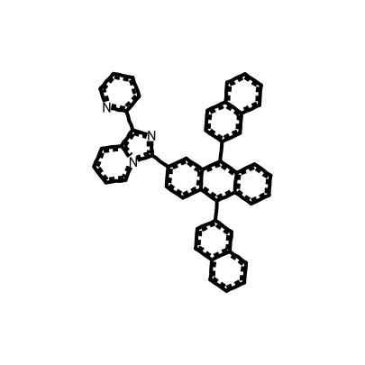 c1ccc(-c2nc(-c3ccc4c(-c5ccc6ccccc6c5)c5ccccc5c(-c5ccc6ccccc6c5)c4c3)n3ccccc23)nc1